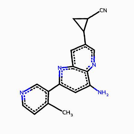 Cc1ccncc1-c1cc(N)c2ncc(C3CC3C#N)cc2n1